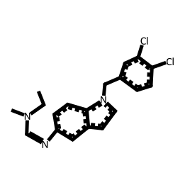 CCN(C)/C=N\c1ccc2c(ccn2Cc2ccc(Cl)c(Cl)c2)c1